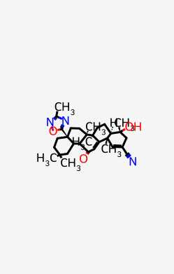 Cc1noc([C@]23CCC(C)(C)CC2C2C(=O)C=C4[C@@]5(C)C=C(C#N)C[C@@](C)(O)[C@@H]5CC[C@@]4(C)[C@]2(C)CC3)n1